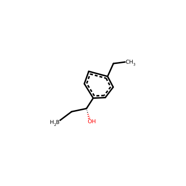 BC[C@@H](O)c1ccc(CC)cc1